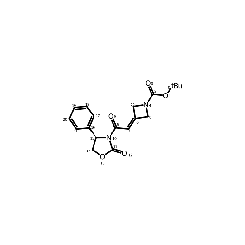 CC(C)(C)OC(=O)N1CC(=CC(=O)N2C(=O)OC[C@H]2c2ccccc2)C1